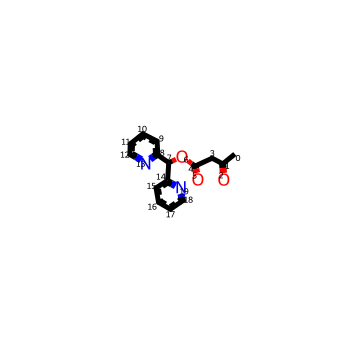 CC(=O)CC(=O)OC(c1ccccn1)c1ccccn1